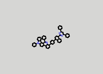 c1ccc(-c2cc(-c3ccccc3)nc(-c3ccc(-c4ccc(-c5cccc6c5nc(-c5ccccc5)c5c6ccc6c5c5ccccc5n6-c5ccccc5)cc4)c4ccccc34)n2)cc1